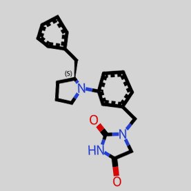 O=C1CN(Cc2cccc(N3CCC[C@H]3Cc3ccccc3)c2)C(=O)N1